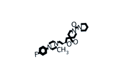 C[C@H]1CN(c2ccc(F)cc2)CCN1CC[C@H]1CC2(CCN(C(=O)N3CCCCC3)CC2)C(=O)O1